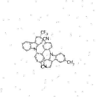 Cc1ccc2c(c1)c1ccccc1n2-c1ccc(C#N)cc1-c1cc(C#N)ccc1-n1c2ccccc2c2cc(C(F)(F)F)ccc21